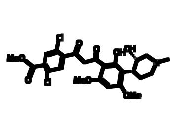 COC(=O)c1cc(Cl)c(C(=O)CC(=O)c2c(OC)cc(OC)c([C@H]3CCN(C)C[C@H]3O)c2O)cc1Cl